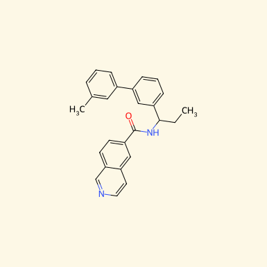 CCC(NC(=O)c1ccc2cnccc2c1)c1cccc(-c2cccc(C)c2)c1